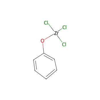 [Cl][Zr]([Cl])([Cl])[O]c1ccccc1